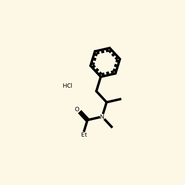 CCC(=O)N(C)C(C)Cc1ccccc1.Cl